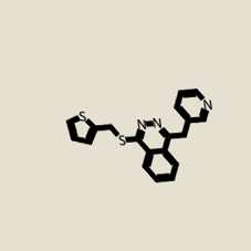 c1cncc(Cc2nnc(SCc3cccs3)c3ccccc23)c1